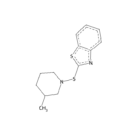 CC1CCCN(Sc2nc3ccccc3s2)C1